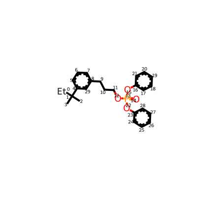 CCC(C)(C)c1cccc(CCCOP(=O)(Oc2ccccc2)Oc2ccccc2)c1